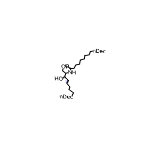 CCCCCCCCCCCCC/C=C/[C@@H](O)C(CO)NC(=O)CCCCCCCCCCCCCCCCCC